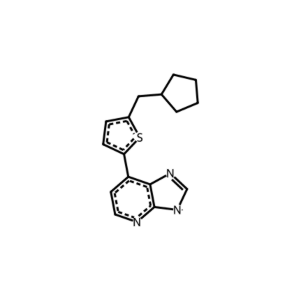 C1=Nc2c(-c3ccc(CC4CCCC4)s3)ccnc2[N]1